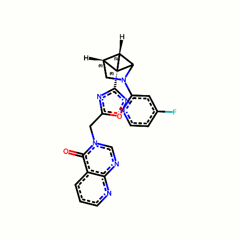 O=c1c2cccnc2ncn1Cc1nc([C@@]23C4[C@H]2[C@H]3CN4c2cc(F)ccn2)no1